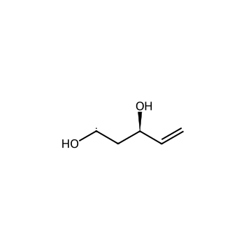 C=C[C@H](O)C[CH]O